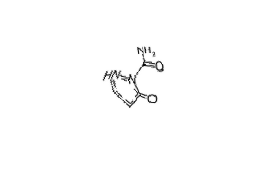 NC(=O)n1[nH]ccc1=O